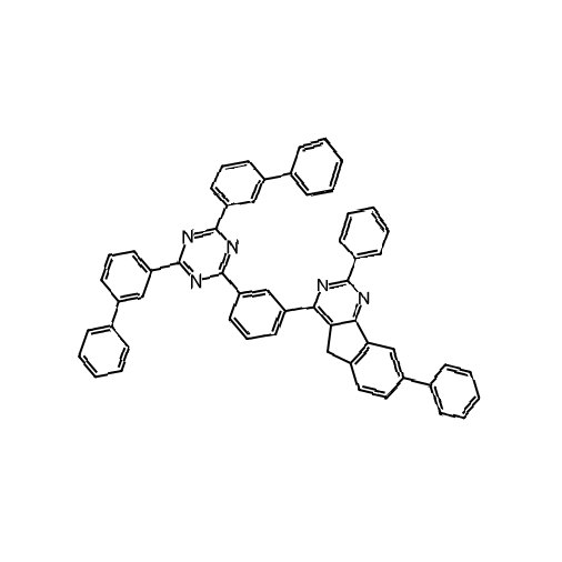 c1ccc(-c2cccc(-c3nc(-c4cccc(-c5ccccc5)c4)nc(-c4cccc(-c5nc(-c6ccccc6)nc6c5Cc5ccc(-c7ccccc7)cc5-6)c4)n3)c2)cc1